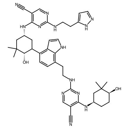 CC1(C)C[C@H](Nc2nc(NCCc3ccc(C4C[C@@H](Nc5nc(NCCc6ccn[nH]6)ncc5C#N)CC(C)(C)[C@H]4O)c4cc[nH]c34)ncc2C#N)CC[C@@H]1O